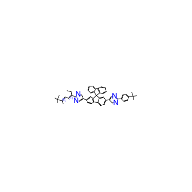 CC/C(=C\C=C(/C)C(C)(C)C)c1ncc(-c2ccc3c(c2)C(c2ccccc2)(c2ccccc2C)c2cc(-c4cnc(-c5ccc(C(C)(C)C)cc5)nc4)ccc2-3)cn1